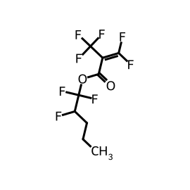 CCCC(F)C(F)(F)OC(=O)C(=C(F)F)C(F)(F)F